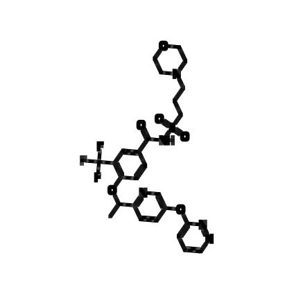 CC(Oc1ccc(C(=O)NS(=O)(=O)CCCN2CCOCC2)cc1C(F)(F)F)c1ccc(Oc2cccnn2)cn1